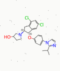 CC(C)c1nccn1-c1ccc(O[C@H]2c3cc(Cl)cc(Cl)c3C[C@@H]2N2CCC(O)C2)cc1